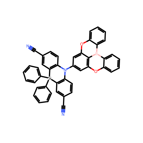 N#Cc1ccc2c(c1)[Si](c1ccccc1)(c1ccccc1)c1cc(C#N)ccc1N2c1cc2c3c(c1)Oc1ccccc1B3c1ccccc1O2